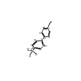 Cc1ccc(-c2ccc([Si](C)(C)C)cn2)cc1